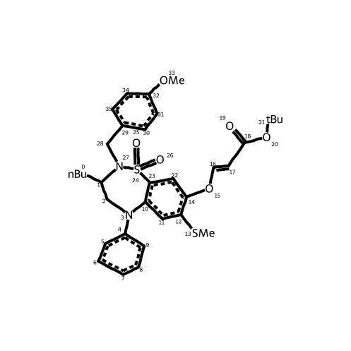 CCCCC1CN(c2ccccc2)c2cc(SC)c(O/C=C/C(=O)OC(C)(C)C)cc2S(=O)(=O)N1Cc1ccc(OC)cc1